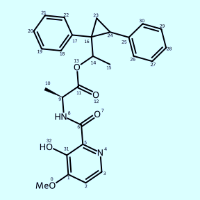 COc1ccnc(C(=O)N[C@@H](C)C(=O)OC(C)C2(c3ccccc3)CC2c2ccccc2)c1O